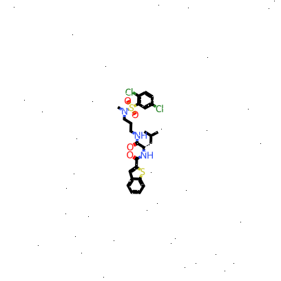 CC(C)C[C@H](NC(=O)c1cc2ccccc2s1)C(=O)NCCCN(C)S(=O)(=O)c1cc(Cl)ccc1Cl